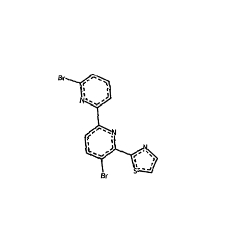 Brc1cccc(-c2ccc(Br)c(-c3nccs3)n2)n1